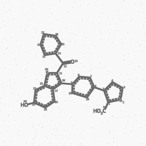 O=C(O)c1sccc1-c1ccc(-c2c(C(=O)c3ccccc3)sc3cc(O)ccc23)cc1